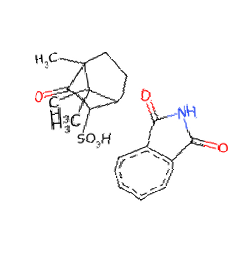 CC12CCC(C(S(=O)(=O)O)C1=O)C2(C)C.O=C1NC(=O)c2ccccc21